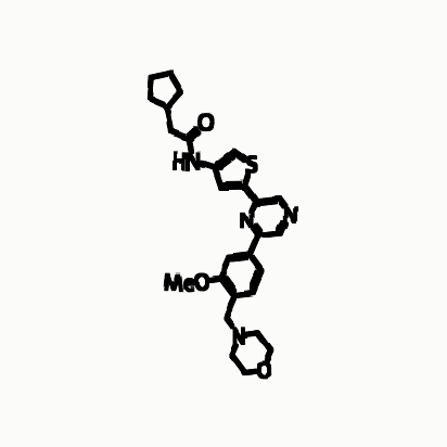 COc1cc(-c2cncc(-c3cc(NC(=O)CC4CCCC4)cs3)n2)ccc1CN1CCOCC1